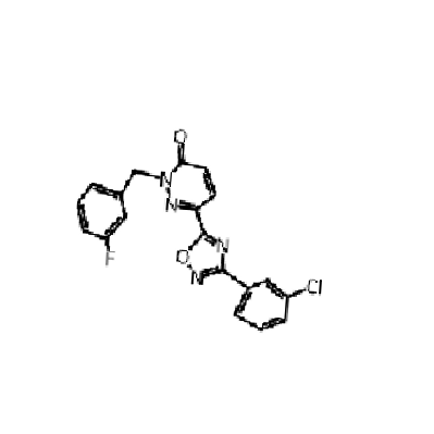 O=c1ccc(-c2nc(-c3cccc(Cl)c3)no2)nn1Cc1cccc(F)c1